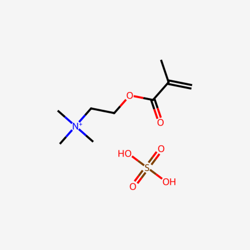 C=C(C)C(=O)OCC[N+](C)(C)C.O=S(=O)(O)O